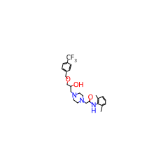 Cc1cccc(C)c1NC(=O)CN1CCN(CC(O)COCc2ccc(C(F)(F)F)cc2)CC1